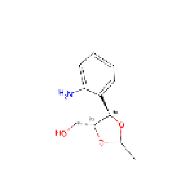 CC1O[C@H](c2ccccc2N)[C@@H](CO)O1